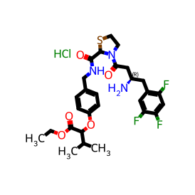 CCOC(=O)C(Oc1ccc(CNC(=O)C2SCCN2C(=O)C[C@H](N)Cc2cc(F)c(F)cc2F)cc1)C(C)C.Cl